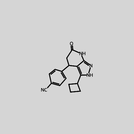 N#Cc1ccc(C2CC(=O)Nc3n[nH]c(C4CCC4)c32)cc1